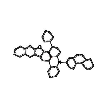 c1ccc(-c2ccc(N(c3ccc4c(ccc5ccccc54)c3)c3ccccc3-c3ccc4oc5cc6ccccc6cc5c4c3)cc2)cc1